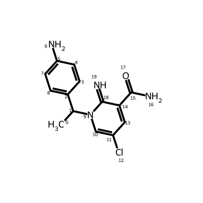 CC(c1ccc(N)cc1)n1cc(Cl)cc(C(N)=O)c1=N